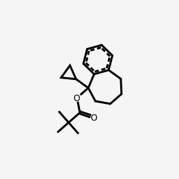 CC(C)(C)C(=O)OC1(C2CC2)CCCCc2ccccc21